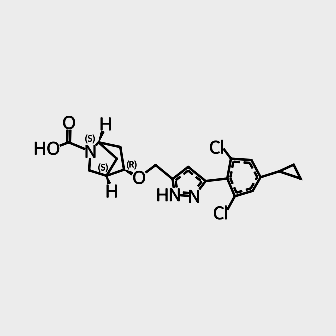 O=C(O)N1C[C@@H]2C[C@H]1C[C@H]2OCc1cc(-c2c(Cl)cc(C3CC3)cc2Cl)n[nH]1